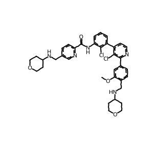 COc1cc(-c2nccc(-c3cccc(NC(=O)c4ccc(CNC5CCOCC5)cn4)c3Cl)c2Cl)ccc1CNC1CCOCC1